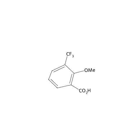 COc1c(C(=O)O)cccc1C(F)(F)F